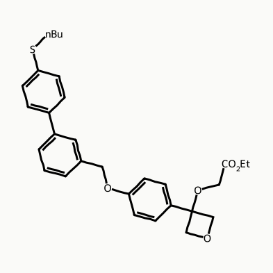 CCCCSc1ccc(-c2cccc(COc3ccc(C4(OCC(=O)OCC)COC4)cc3)c2)cc1